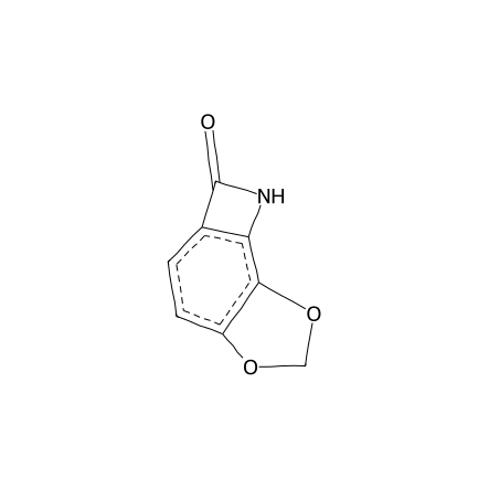 O=C1Nc2c1ccc1c2OCO1